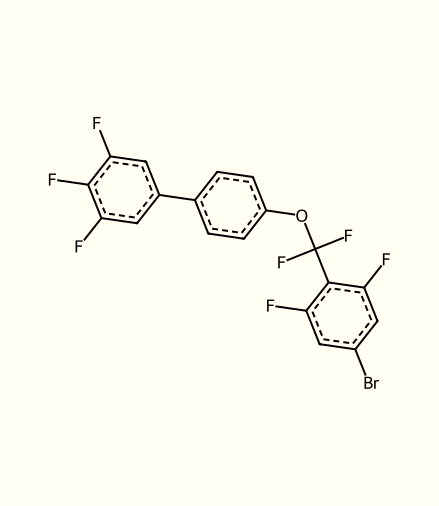 Fc1cc(-c2ccc(OC(F)(F)c3c(F)cc(Br)cc3F)cc2)cc(F)c1F